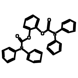 O=C(Oc1ccccc1OC(=O)N(c1ccccc1)c1ccccc1)N(c1ccccc1)c1ccccc1